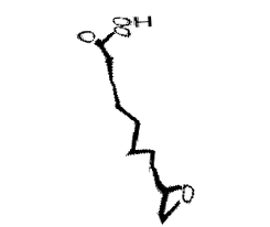 O=C(CCCCCCCC1CO1)OO